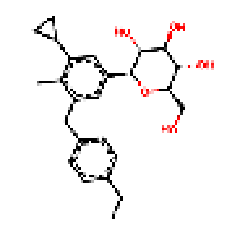 CCc1ccc(Cc2cc([C@@H]3O[C@H](CO)[C@@H](O)[C@H](O)[C@H]3O)cc(C3CC3)c2C)cc1